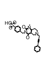 Cn1c2c(c(=O)n(Cc3ccc(S(=O)(=O)O)cc3)c1=O)CN(CC#Cc1ccccc1)CC2